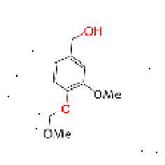 COCOc1ccc(CO)cc1OC